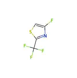 Fc1csc(C(F)(F)F)n1